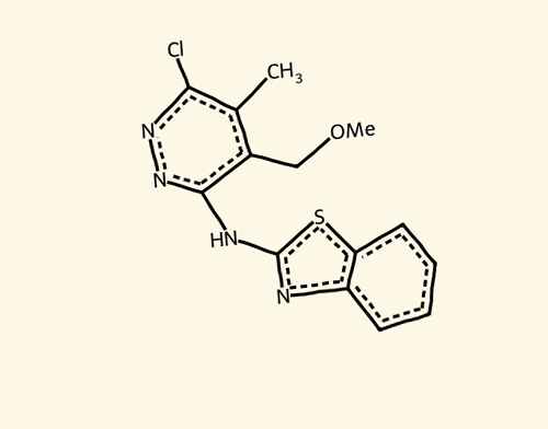 COCc1c(Nc2nc3ccccc3s2)nnc(Cl)c1C